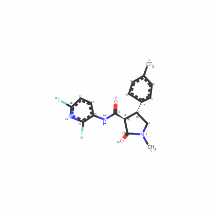 CN1C[C@@H](c2ccc(C(F)(F)F)cc2)[C@H](C(=O)Nc2ccc(F)nc2F)C1=O